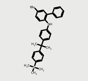 CC(C)(C)c1ccc(Nc2ccc(C(C)(C)c3ccc([Si](C)(C)C)cc3)cc2)c(-c2ccccc2)c1